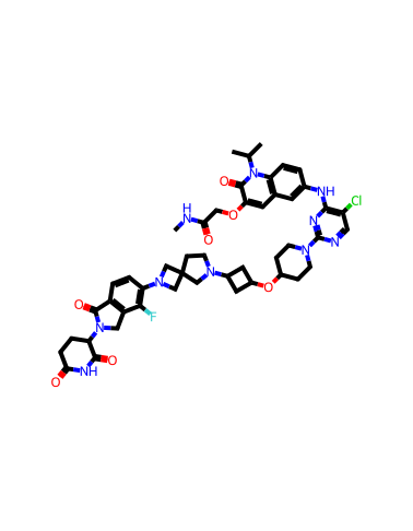 CNC(=O)COc1cc2cc(Nc3nc(N4CCC(OC5CC(N6CCC7(CN(c8ccc9c(c8F)CN(C8CCC(=O)NC8=O)C9=O)C7)C6)C5)CC4)ncc3Cl)ccc2n(C(C)C)c1=O